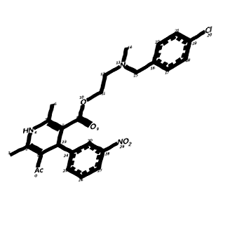 CC(=O)C1=C(C)NC(C)=C(C(=O)OCCN(C)Cc2ccc(Cl)cc2)C1c1cccc([N+](=O)[O-])c1